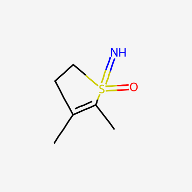 CC1=C(C)S(=N)(=O)CC1